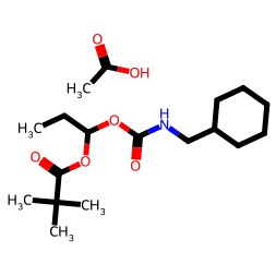 CC(=O)O.CCC(OC(=O)NCC1CCCCC1)OC(=O)C(C)(C)C